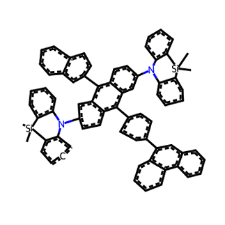 C[Si]1(C)c2ccccc2N(c2ccc3c(-c4ccc5ccccc5c4)c4cc(N5c6ccccc6[Si](C)(C)c6ccccc65)ccc4c(-c4ccc(-c5cc6ccccc6c6ccccc56)cc4)c3c2)c2ccccc21